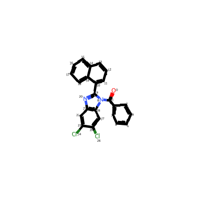 O=C(c1ccccc1)n1c(-c2cccc3ccccc23)nc2cc(Cl)c(Cl)cc21